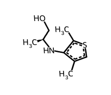 Cc1csc(C)c1N[C@@H](C)CO